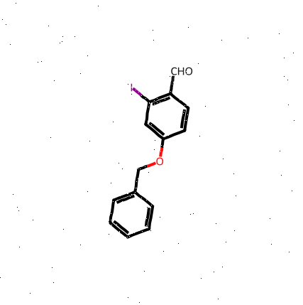 O=Cc1ccc(OCc2ccccc2)cc1I